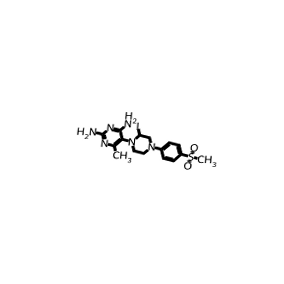 Cc1nc(N)nc(N)c1N1CCN(c2ccc(S(C)(=O)=O)cc2)CC1I